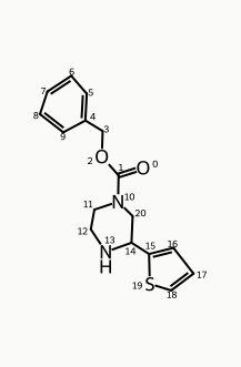 O=C(OCc1ccccc1)N1CCNC(c2cccs2)C1